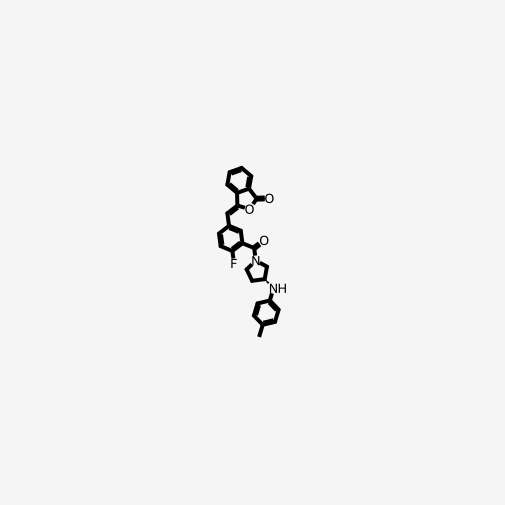 Cc1ccc(N[C@@H]2CCN(C(=O)c3cc(/C=C4\OC(=O)c5ccccc54)ccc3F)C2)cc1